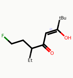 CCC(CCF)C(=O)/C=C(\O)C(C)(C)C